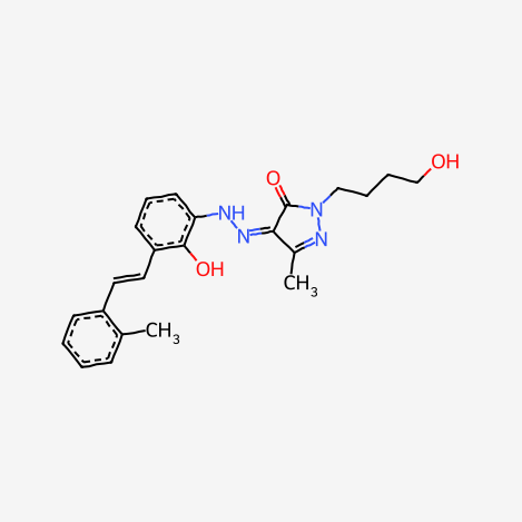 CC1=NN(CCCCO)C(=O)C1=NNc1cccc(/C=C/c2ccccc2C)c1O